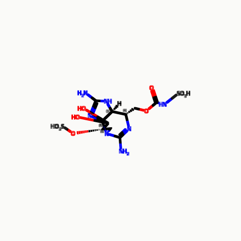 NC1=N[C@@]23[C@@H](N1)[C@H](COC(=O)NS(=O)(=O)O)N=C(N)N2C[C@H](OS(=O)(=O)O)C3(O)O